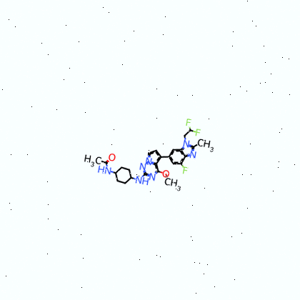 COc1nc(NC2CCC(NC(C)=O)CC2)nn2ccc(-c3cc(F)c4nc(C)n(CC(F)F)c4c3)c12